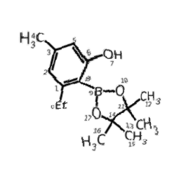 CCc1cc(C)cc(O)c1B1OC(C)(C)C(C)(C)O1